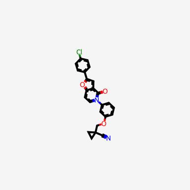 N#CC1(COc2cccc(-n3ccc4oc(-c5ccc(Cl)cc5)cc4c3=O)c2)CC1